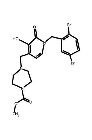 COC(=O)N1CCN(Cc2ccn(Cc3cc(Br)ccc3Br)c(=O)c2O)CC1